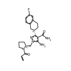 C=CC(=O)N1CCC[C@H]1Cn1nc([C@H]2CCc3cc(F)ccc3C2)c(C(N)=O)c1N